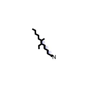 CCCCC/C(C)=C(/C=C/C=C/C#N)CC